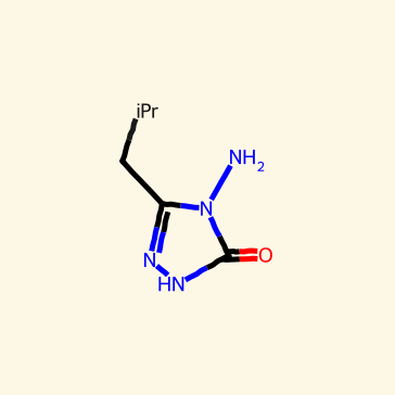 CC(C)Cc1n[nH]c(=O)n1N